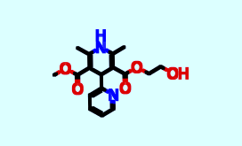 COC(=O)C1=C(C)NC(C)=C(C(=O)OCCO)C1c1ccccn1